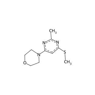 CSc1cc(N2CCOCC2)nc(C)n1